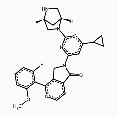 COc1cccc(F)c1-c1nccc2c1CN(c1cc(C3CC3)nc(N3C[C@H]4C[C@@H]3CN4)n1)C2=O